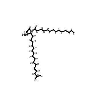 CCCCCCCCCCCCCC(C)[n+]1cc[nH]c1CCCCCCCCCCCCCCC(C)C